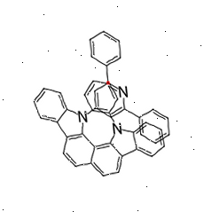 c1ccc(-c2cc(-n3c4ccccc4c4ccc5ccc6c7ccccc7n(-c7ccccc7)c6c5c43)cc(-c3ccccc3)n2)cc1